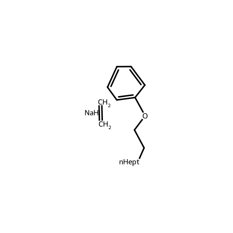 C=C.CCCCCCCCCOc1ccccc1.[NaH]